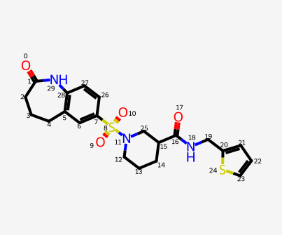 O=C1CCCc2cc(S(=O)(=O)N3CCCC(C(=O)NCc4cccs4)C3)ccc2N1